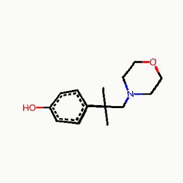 CC(C)(CN1CCOCC1)c1ccc(O)cc1